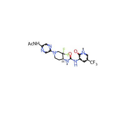 CC(=O)Nc1cnc(N2CC[C@H](N(C)C(=O)Nc3cc(C(F)(F)F)cn(C)c3=O)C(F)(F)C2)cn1